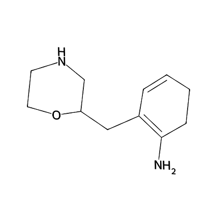 NC1=C(CC2CNCCO2)C=CCC1